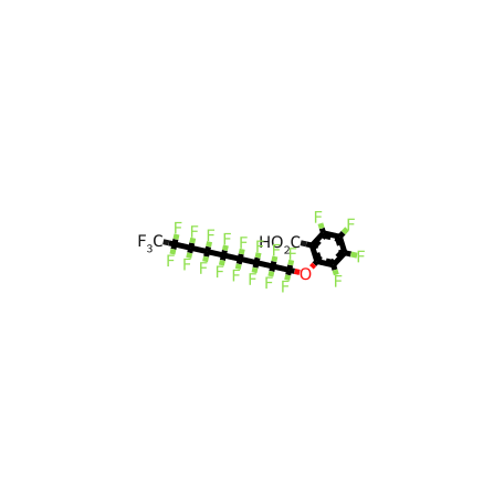 O=C(O)c1c(F)c(F)c(F)c(F)c1OC(F)(F)C(F)(F)C(F)(F)C(F)(F)C(F)(F)C(F)(F)C(F)(F)C(F)(F)C(F)(F)F